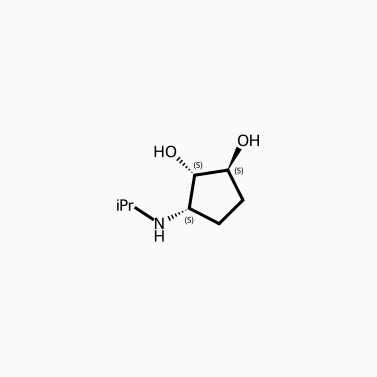 CC(C)N[C@H]1CC[C@H](O)[C@H]1O